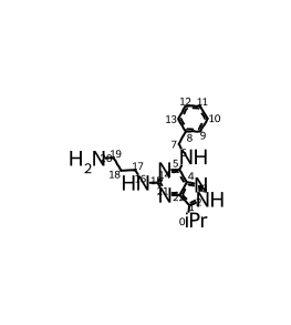 CC(C)c1[nH]nc2c(NCc3ccccc3)nc(NCCCN)nc12